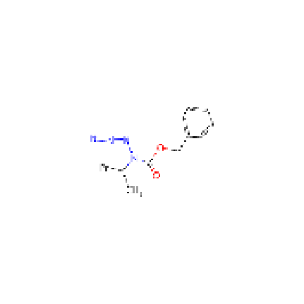 CC(C)C(C)N(N=[N+]=[N-])C(=O)OCc1ccccc1